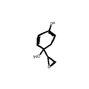 OC1=CCC(O)(C2CO2)C=C1